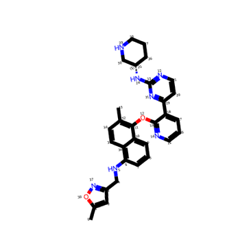 Cc1cc(CNc2cccc3c(Oc4ncccc4-c4ccnc(N[C@H]5CCCNC5)n4)c(C)ccc23)no1